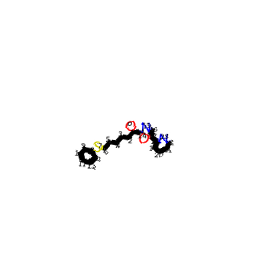 O=C(CCCCCSc1ccccc1)c1ncc(-c2ccccn2)o1